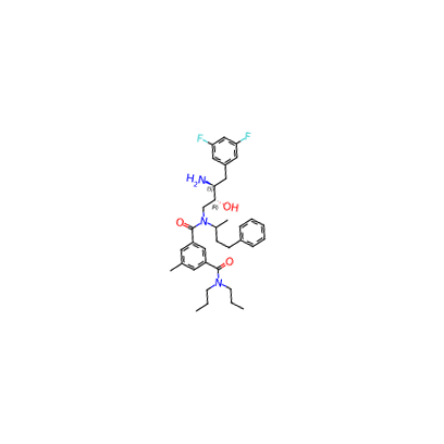 CCCN(CCC)C(=O)c1cc(C)cc(C(=O)N(C[C@@H](O)[C@@H](N)Cc2cc(F)cc(F)c2)C(C)CCc2ccccc2)c1